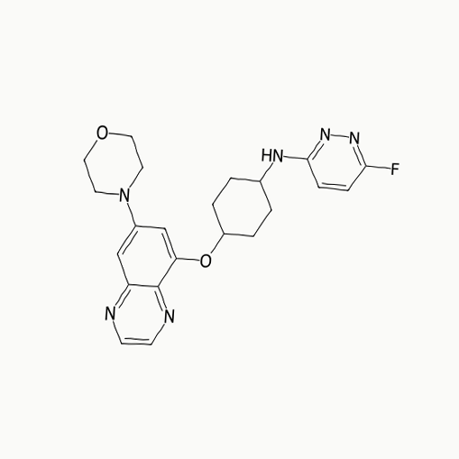 Fc1ccc(NC2CCC(Oc3cc(N4CCOCC4)cc4nccnc34)CC2)nn1